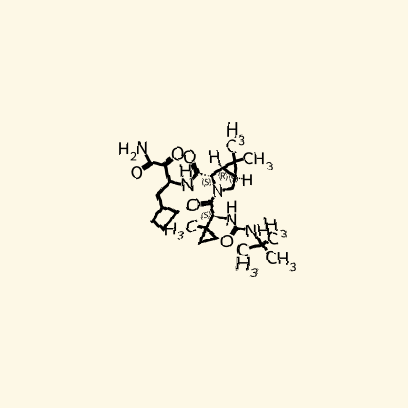 CC(C)(C)NC(=O)N[C@H](C(=O)N1C[C@H]2[C@@H]([C@H]1C(=O)NC(CC1CCC1)C(=O)C(N)=O)C2(C)C)C1(C)CC1